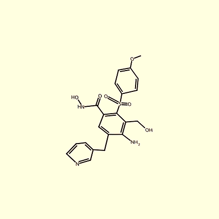 COc1ccc(S(=O)(=O)c2c(C(=O)NO)cc(Cc3cccnc3)c(N)c2CO)cc1